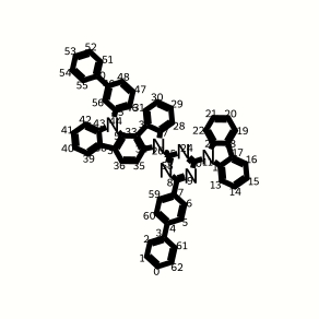 c1ccc(-c2ccc(-c3nc(-n4c5ccccc5c5ccccc54)nc(-n4c5ccccc5c5c4ccc4c6ccccc6n(-c6cccc(-c7ccccc7)c6)c45)n3)cc2)cc1